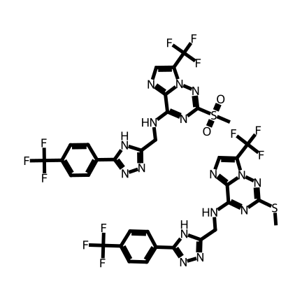 CS(=O)(=O)c1nc(NCc2nnc(-c3ccc(C(F)(F)F)cc3)[nH]2)c2ncc(C(F)(F)F)n2n1.CSc1nc(NCc2nnc(-c3ccc(C(F)(F)F)cc3)[nH]2)c2ncc(C(F)(F)F)n2n1